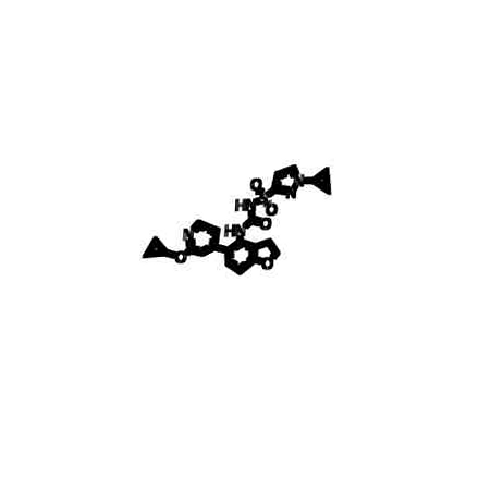 O=C(Nc1c(-c2ccnc(OC3CC3)c2)ccc2c1CCO2)NS(=O)(=O)c1ccn(C2CC2)n1